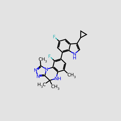 Cc1cc(-c2cc(F)cc3c(C4CC4)c[nH]c23)c(F)c2c1NC(C)(C)c1nnc(C)n1-2